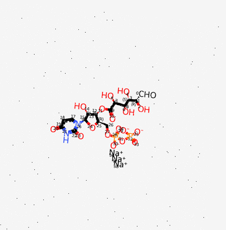 O=C[C@H](O)[C@@H](O)[C@H](O)[C@H](O)C(=O)O[C@H]1[C@@H](O)[C@H](n2ccc(=O)[nH]c2=O)O[C@@H]1COP(=O)([O-])OP(=O)([O-])[O-].[Na+].[Na+].[Na+]